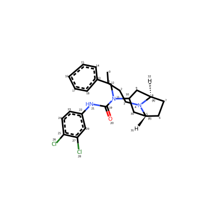 CCCCN1[C@@H]2CC[C@@H]1CC(N(Cc1ccccc1)C(=O)Nc1ccc(Cl)c(Cl)c1)C2